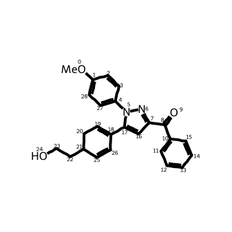 COc1ccc(-n2nc(C(=O)c3ccccc3)cc2C2=CCC(CCO)C=C2)cc1